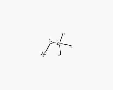 CC(=O)[O][Zr]([CH3])([CH3])[CH3]